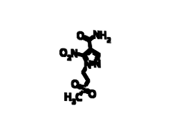 CS(=O)(=O)CCn1ncc(C(N)=O)c1[N+](=O)[O-]